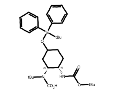 CC(C)(C)OC(=O)N[C@H]1CCC(O[Si](c2ccccc2)(c2ccccc2)C(C)(C)C)C[C@H]1N(C(=O)O)C(C)(C)C